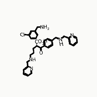 NCc1cccc(Cl)c1.O=C(O)[C@@H](CCCNCc1ccccn1)C(=O)c1ccc(CNCc2ccccn2)cc1